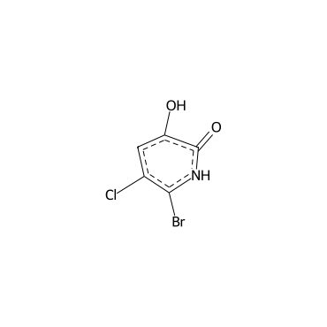 O=c1[nH]c(Br)c(Cl)cc1O